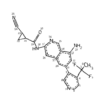 CC(F)(F)c1ccncc1-c1cc(N)c2cnc(NC(=O)C3CC3C#N)cc2c1